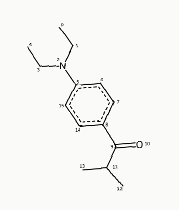 CCN(CC)c1ccc(C(=O)C(C)C)cc1